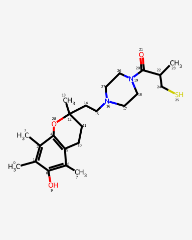 Cc1c(C)c2c(c(C)c1O)CCC(C)(CCN1CCN(C(=O)C(C)CS)CC1)O2